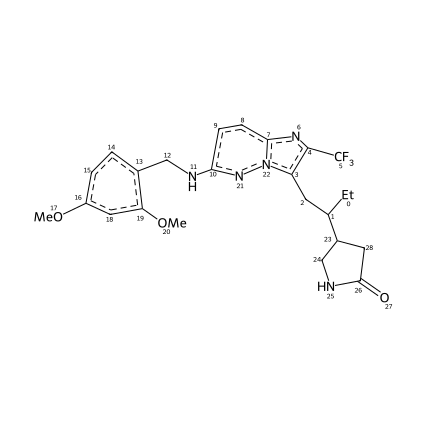 CCC(Cc1c(C(F)(F)F)nc2ccc(NCc3ccc(OC)cc3OC)nn12)C1CNC(=O)C1